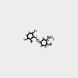 Cc1ccc(F)c(COc2ccc(F)c(N)c2)c1F